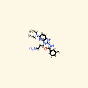 Cc1cccc(C(=O)Nc2nc3ccc(N(CC(C)C)CC(C)C)nc3n2CCCN)c1